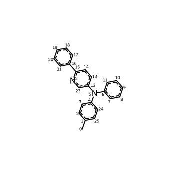 Cc1ccc(N(c2ccccc2)c2ccc(-c3ccccc3)nc2)cc1